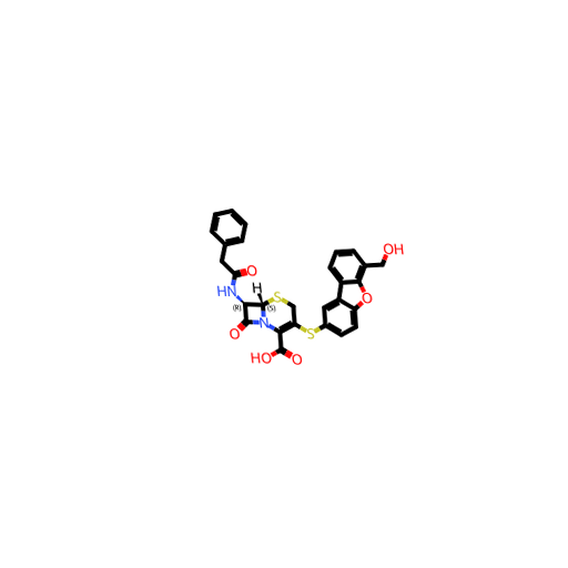 O=C(Cc1ccccc1)N[C@@H]1C(=O)N2C(C(=O)O)=C(Sc3ccc4oc5c(CO)cccc5c4c3)CS[C@@H]12